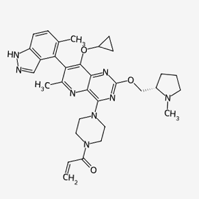 C=CC(=O)N1CCN(c2nc(OC[C@@H]3CCCN3C)nc3c(OC4CC4)c(-c4c(C)ccc5[nH]ncc45)c(C)nc23)CC1